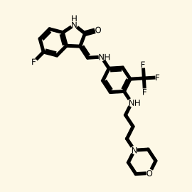 O=C1Nc2ccc(F)cc2C1=CNc1ccc(NCCCN2CCOCC2)c(C(F)(F)F)c1